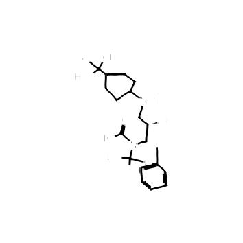 CC(C)(C)C1CCC(NC[C@@H](O)[C@H](Cc2ccccc2)N(C(=O)O)C(C)(C)C)CC1